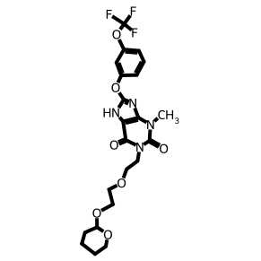 Cn1c(=O)n(CCOCCOC2CCCCO2)c(=O)c2[nH]c(Oc3cccc(OC(F)(F)F)c3)nc21